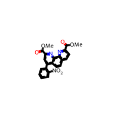 COC(=O)c1ccc2ccc3c(-c4ccccc4[N+](=O)[O-])cc(C(=O)OC)nc3c2n1